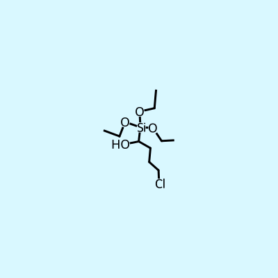 CCO[Si](OCC)(OCC)C(O)CCCCl